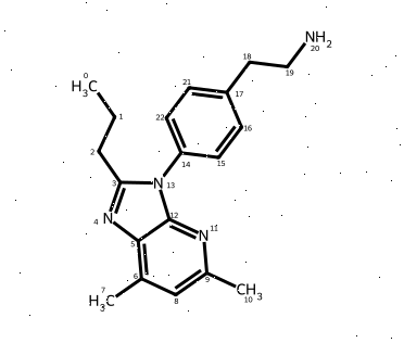 CCCc1nc2c(C)cc(C)nc2n1-c1ccc(CCN)cc1